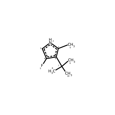 Cc1[nH]cc(F)c1C(C)(C)C